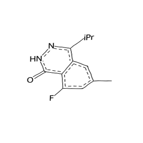 Cc1cc(F)c2c(=O)[nH]nc(C(C)C)c2c1